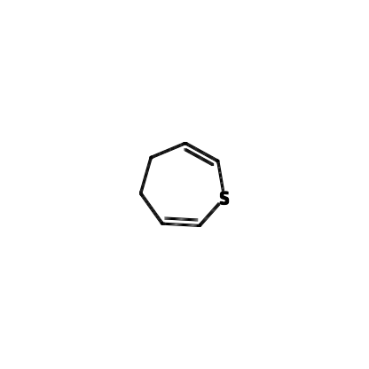 C1=CSC=CCC1